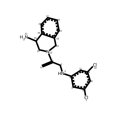 C=C(CNc1cc(Cl)cc(Cl)c1)N1Cc2ccccc2C(N)C1